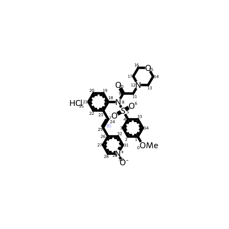 COc1ccc(S(=O)(=O)N(C(=O)CN2CCOCC2)c2ccccc2/C=C/c2cc[n+]([O-])cc2)cc1.Cl